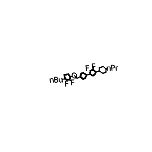 CCCCc1ccc(OCc2ccc(-c3ccc(C4CCC(CCC)CC4)c(F)c3F)cc2)c(F)c1F